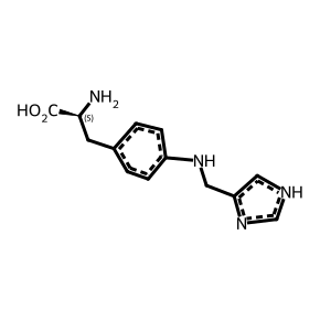 N[C@@H](Cc1ccc(NCc2c[nH]cn2)cc1)C(=O)O